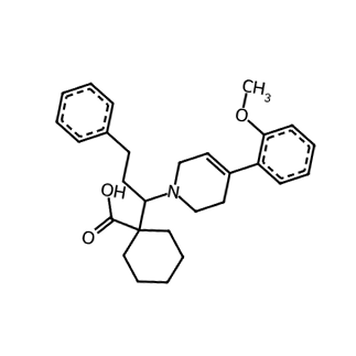 COc1ccccc1C1=CCN(C(CCc2ccccc2)C2(C(=O)O)CCCCC2)CC1